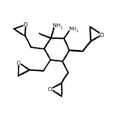 CC1(N)C(N)C(CC2CO2)C(CC2CO2)C(CC2CO2)C1CC1CO1